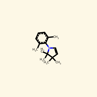 Cc1cccc(C)c1N1C=CC(C)(C)C1(C)C